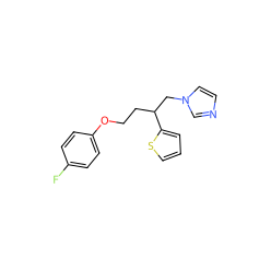 Fc1ccc(OCCC(Cn2ccnc2)c2cccs2)cc1